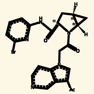 CC(=O)c1cn(CC(=O)N2[C@@H]3C[C@@H]3C[C@H]2C(=O)Nc2cccc(Br)n2)c2ccncc12